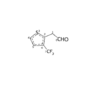 O=CCc1sccc1C(F)(F)F